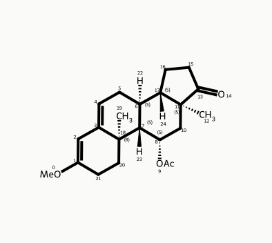 COC1=CC2=CC[C@@H]3[C@H]([C@@H](OC(C)=O)C[C@]4(C)C(=O)CC[C@@H]34)[C@@]2(C)CC1